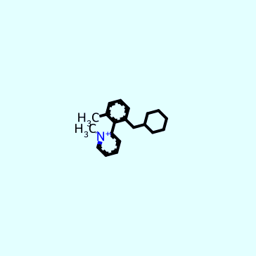 Cc1cccc(CC2CCCCC2)c1-c1cccc[n+]1C